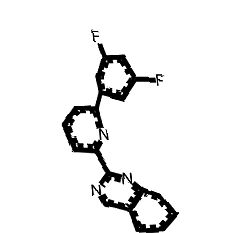 Fc1cc(F)cc(-c2cccc(-c3ncc4ccccc4n3)n2)c1